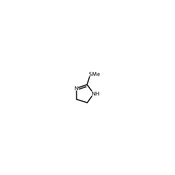 [CH2]SC1=NCCN1